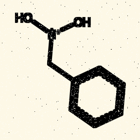 O[N+](O)Cc1ccccc1